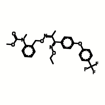 CCON=C(C(C)=NOCc1ccccc1N(C)C(=O)OC)c1ccc(Oc2ccc(C(F)(F)F)cc2)cc1